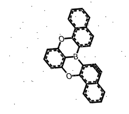 c1c2c(c3ccccc3c#1)Oc1cccc3c1B2c1ccc2ccccc2c1O3